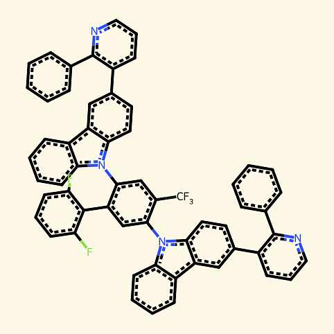 Fc1cccc(F)c1-c1cc(-n2c3ccccc3c3cc(-c4cccnc4-c4ccccc4)ccc32)c(C(F)(F)F)cc1-n1c2ccccc2c2cc(-c3cccnc3-c3ccccc3)ccc21